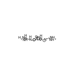 N=C(N)CCCN1CCCC(c2cc3cn(-c4ccc(CNCCCNC(=N)N)cc4)c(=O)nc3[nH]2)C1